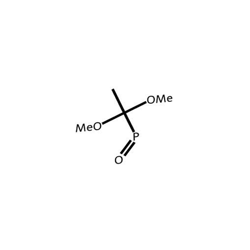 COC(C)(OC)P=O